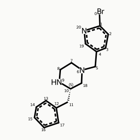 Brc1ccc(CN2CCN[C@@H](Cc3ccccc3)C2)cn1